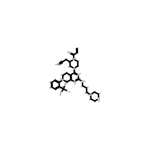 C=CC(=O)N1CCN(c2nc(OCCCN3CCOCC3)nc3c2CCN(c2ccccc2C(F)(F)F)C3)CC1CC#N